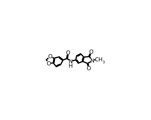 CN1C(=O)c2ccc(NC(=O)c3ccc4c(c3)OCO4)cc2C1=O